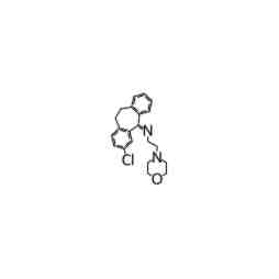 Clc1ccc2c(c1)/C(=N\CCN1CCOCC1)c1ccccc1CC2